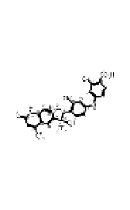 C[C@H](c1ccc(Oc2ccc(C(=O)O)c(Cl)c2)cc1Cl)[C@@](O)(c1ccc2[nH]c(=O)cc(C(F)(F)F)c2c1)C(F)(F)F